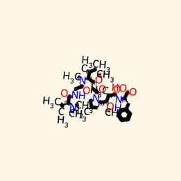 C=C1C[C@@H]([C@H](OC)[C@@H](C)C(=O)N[C@@H](Cc2ccccc2)C(=O)O)N(C(=O)C[C@@H](OC)[C@H]([C@@H](C)CC)N(C)C(=O)CNC(=O)[C@H](C(C)C)N(C)C)C1